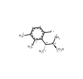 Cc1ccc(F)c([C@@H](C)[C@@H](N)C(=O)O)c1C